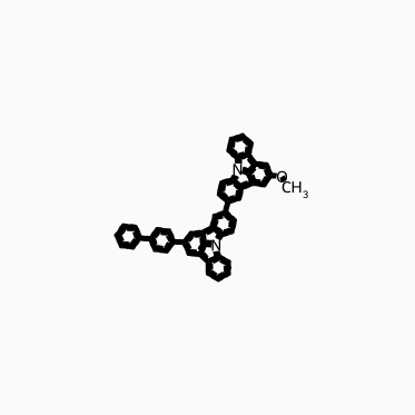 COc1cc2c3ccccc3n3c4ccc(-c5ccc6c(c5)c5cc(-c7ccc(-c8ccccc8)cc7)cc7c8ccccc8n6c75)cc4c(c1)c23